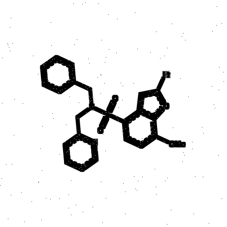 CCc1cc2c(S(=O)(=O)N(Cc3ccccc3)Cc3ccccn3)ccc(OC)c2o1